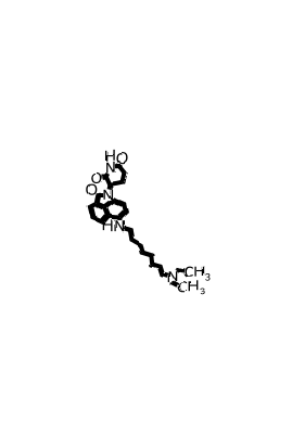 CCN(CC)CCCCCCCCNc1ccc2c3c(cccc13)C(=O)N2C1CCC(=O)NC1=O